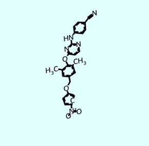 Cc1cc(COc2ccc([N+](=O)[O-])cc2)cc(C)c1Oc1ccnc(Nc2ccc(C#N)cc2)n1